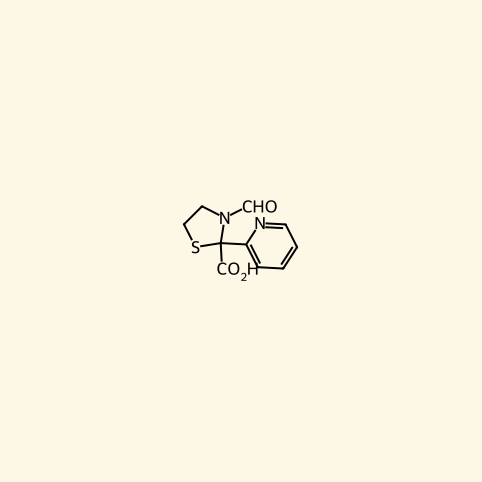 O=CN1CCSC1(C(=O)O)c1ccccn1